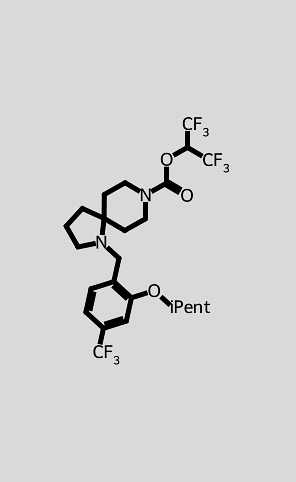 CCCC(C)Oc1cc(C(F)(F)F)ccc1CN1CCCC12CCN(C(=O)OC(C(F)(F)F)C(F)(F)F)CC2